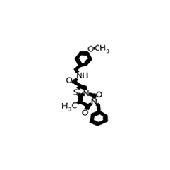 COc1ccc(CNC(=O)c2cn3c(=O)n(Cc4ccccc4)c(=O)c(C)c3s2)cc1